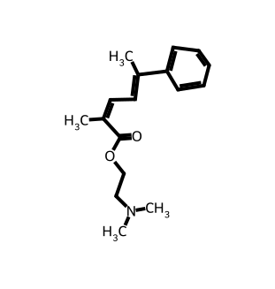 CC(=CC=C(C)c1ccccc1)C(=O)OCCN(C)C